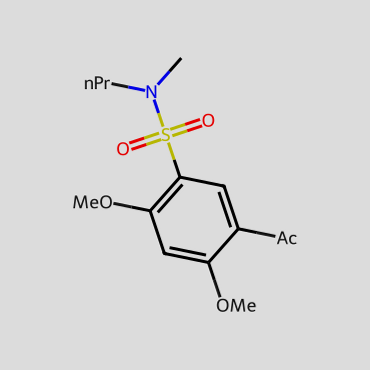 CCCN(C)S(=O)(=O)c1cc(C(C)=O)c(OC)cc1OC